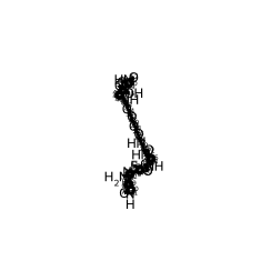 Nc1ncc(-c2ccc(S(=O)(=O)Nc3cccc(NC(=O)CCNCCOCCOCCOCCOCCNc4cccc5c4C(O)N(C4CCC(=O)NC4=O)C5=O)c3)cc2F)cc1-c1ccc2c(c1)CCNC2=O